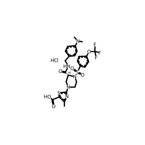 Cc1nc(N2CCN(S(=O)(=O)c3ccc(OC(F)(F)F)cc3)[C@@H](C(=O)NCc3ccc(N(C)C)cc3)C2)sc1C(=O)O.Cl